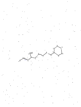 OC(/C=C/I)CCCCCC1CCCCC1